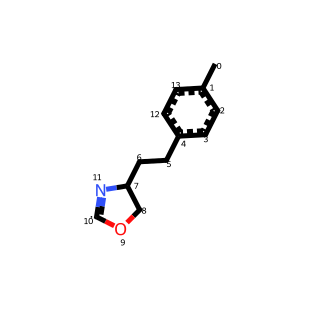 Cc1ccc(CCC2CO[C]=N2)cc1